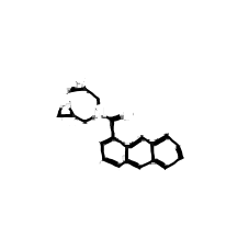 O=C(c1cccc2cc3ccccc3cc12)N(CC1CO1)CC1CO1